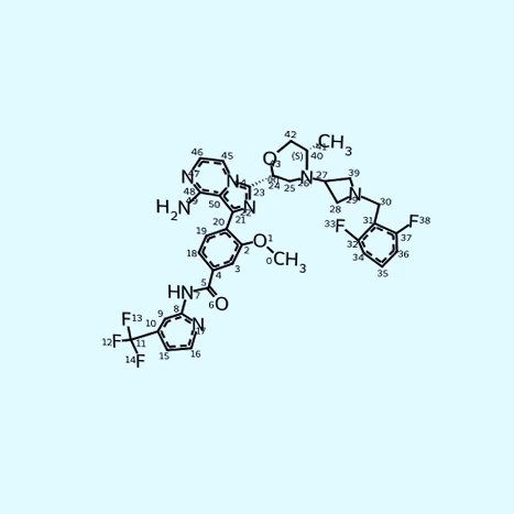 COc1cc(C(=O)Nc2cc(C(F)(F)F)ccn2)ccc1-c1nc([C@H]2CN(C3CN(Cc4c(F)cccc4F)C3)[C@@H](C)CO2)n2ccnc(N)c12